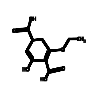 CCOC1=C(C(=O)O)C(O)=CC(C(=O)O)C1